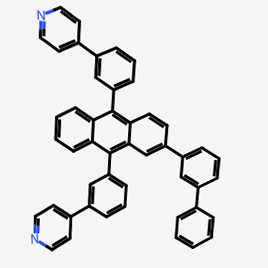 c1ccc(-c2cccc(-c3ccc4c(-c5cccc(-c6ccncc6)c5)c5ccccc5c(-c5cccc(-c6ccncc6)c5)c4c3)c2)cc1